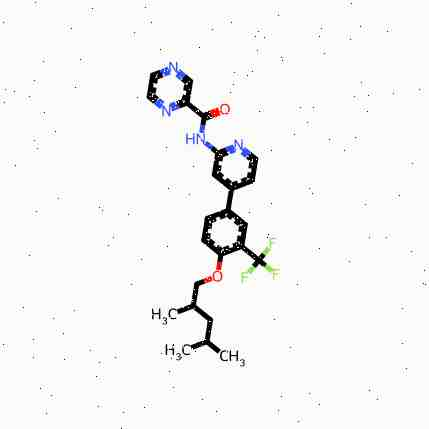 CC(C)CC(C)COc1ccc(-c2ccnc(NC(=O)c3cnccn3)c2)cc1C(F)(F)F